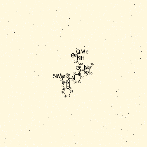 CNC[C@H](CC1CCCCC1)NC(=O)N1CCC[C@H](C(OCCNC(=O)OC)c2nc(C)cs2)C1